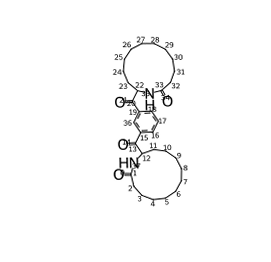 O=C1CCCCCCCCCCC(C(=O)c2cccc(C(=O)C3CCCCCCCCCCC(=O)N3)c2)N1